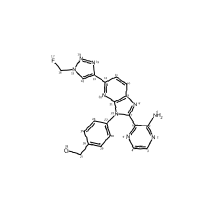 Nc1nccnc1-c1nc2ccc(-c3cn(CF)nn3)nc2n1-c1ccc(CCl)cc1